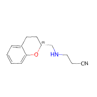 N#CCCNC[C@H]1CCc2ccccc2O1